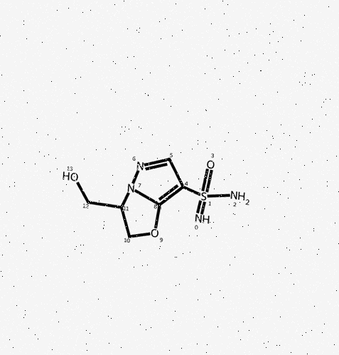 N=S(N)(=O)c1cnn2c1OCC2CO